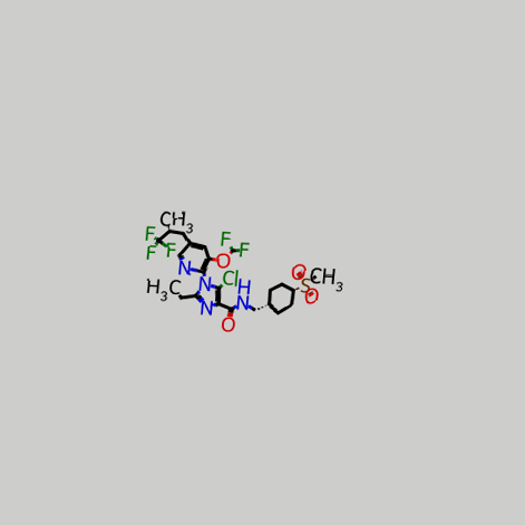 CCc1nc(C(=O)NC[C@H]2CC[C@@H](S(C)(=O)=O)CC2)c(Cl)n1-c1ncc(C[C@@H](C)C(F)(F)F)cc1OC(F)F